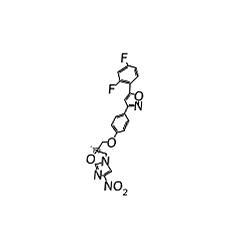 C[C@]1(COc2ccc(-c3cc(-c4ccc(F)cc4F)on3)cc2)Cn2cc([N+](=O)[O-])nc2O1